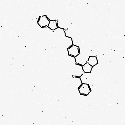 O=C(c1ccccc1)N1CC2CCCN2/C1=N\c1ccc(CCNc2nc3ccccc3s2)cc1